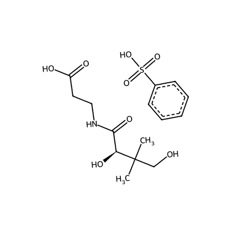 CC(C)(CO)[C@@H](O)C(=O)NCCC(=O)O.O=S(=O)(O)c1ccccc1